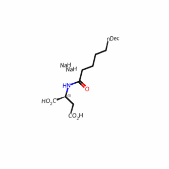 CCCCCCCCCCCCCCC(=O)N[C@@H](CC(=O)O)C(=O)O.[NaH].[NaH]